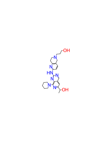 CC(O)c1cc2cnc(Nc3ccc4c(n3)CCN(CCCO)C4)nc2c(N2CCCCC2)n1